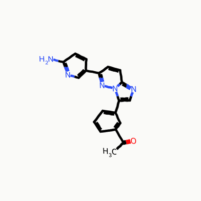 CC(=O)c1cccc(-c2cnc3ccc(-c4ccc(N)nc4)nn23)c1